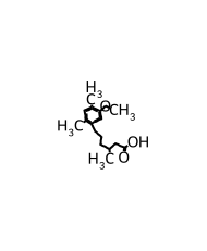 COc1cc(CCCC(C)CC(=O)O)c(C)cc1C